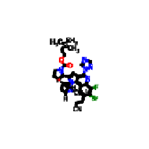 C[Si](C)(C)CCOC(=O)N1CCC[C@@H]1c1cc2c(-n3cncn3)nc3c(F)c(Br)c(CCC#N)cc3c2n1[C@H]1[C@@H]2C[C@H]1N(C(=O)O)C2